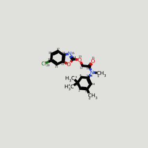 CC1=CC(C)(C)CC(N(C)C(=O)COc2nc3ccc(Cl)cc3o2)=C1